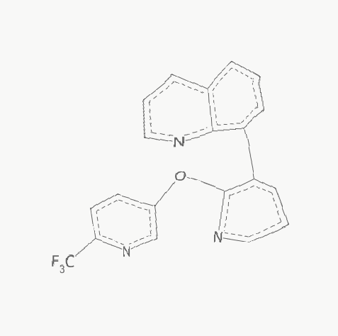 FC(F)(F)c1ccc(Oc2ncccc2-c2cccc3cccnc23)cn1